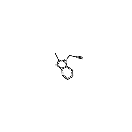 C#CCn1c(C)nc2ccccc21